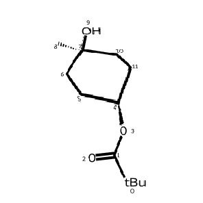 CC(C)(C)C(=O)O[C@H]1CC[C@@](C)(O)CC1